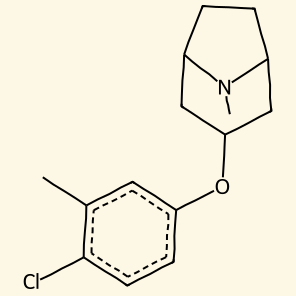 Cc1cc(OC2CC3CCC(C2)N3C)ccc1Cl